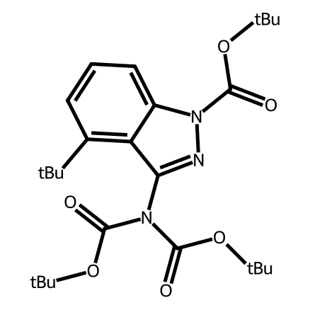 CC(C)(C)OC(=O)N(C(=O)OC(C)(C)C)c1nn(C(=O)OC(C)(C)C)c2cccc(C(C)(C)C)c12